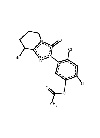 CC(=O)Oc1cc(-n2nc3n(c2=O)CCCC3Br)c(Cl)cc1Cl